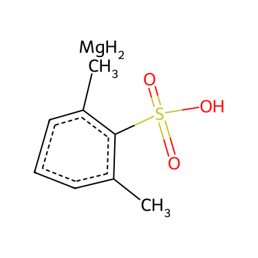 Cc1cccc(C)c1S(=O)(=O)O.[MgH2]